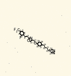 Fc1cc(C(F)(F)F)ccc1C=Cc1nc(COc2ccc(CCCCn3cnnc3)cc2)co1